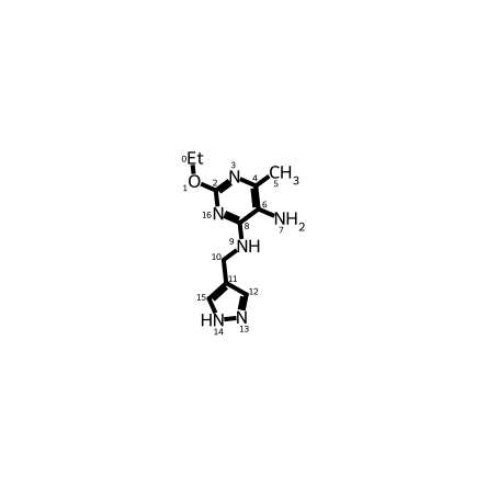 CCOc1nc(C)c(N)c(NCc2cn[nH]c2)n1